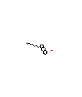 CCCCCCCCC1CC[C@@H]2Cc3c(cccc3OCC=O)CC12